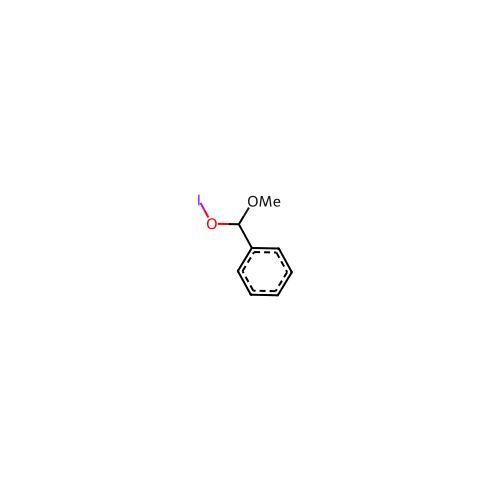 COC(OI)c1ccccc1